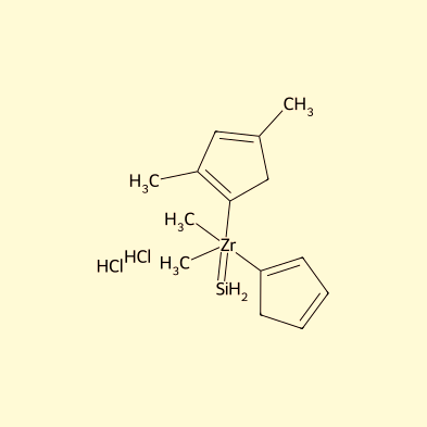 CC1=CC(C)=[C]([Zr]([CH3])([CH3])(=[SiH2])[C]2=CC=CC2)C1.Cl.Cl